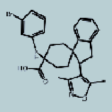 Cc1noc(C)c1C1Cc2ccccc2C12CCC(Nc1cccc(Br)c1)(C(=O)O)CC2